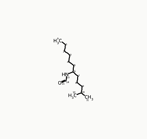 CCCCCCC(CCCC(C)C)NC=O